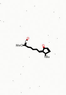 CCCCC1C=CC(=O)C1=CCCCCC(=C=O)OC